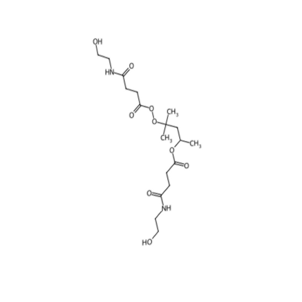 CC(CC(C)(C)OOC(=O)CCC(=O)NCCO)OC(=O)CCC(=O)NCCO